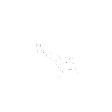 C[C@H]1COCCN1c1cc(C2(S(=O)(=O)c3ccc(F)cc3F)CC2)nc(-c2ccc(NC(=O)NC3CC3)cc2)n1